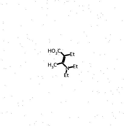 CCC(C(=O)O)=C(C)N(CC)CC